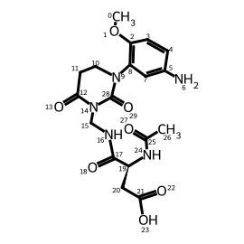 COc1ccc(N)cc1N1CCC(=O)N(CNC(=O)[C@H](CC(=O)O)NC(C)=O)C1=O